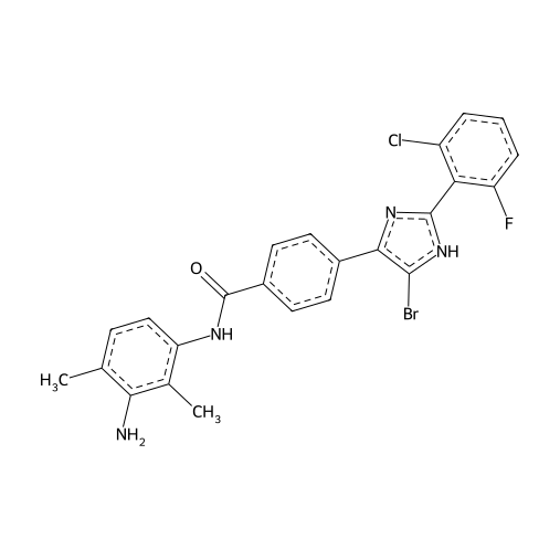 Cc1ccc(NC(=O)c2ccc(-c3nc(-c4c(F)cccc4Cl)[nH]c3Br)cc2)c(C)c1N